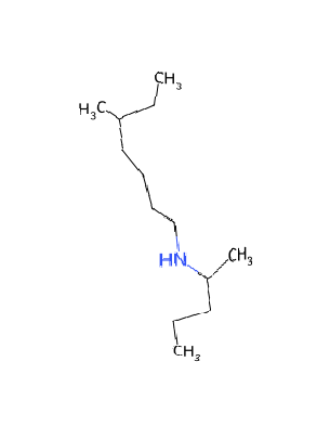 CCCC(C)NCCCCC(C)CC